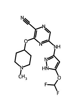 CN1CCC(Oc2nc(Nc3cc(OC(F)F)[nH]n3)cnc2C#N)CC1